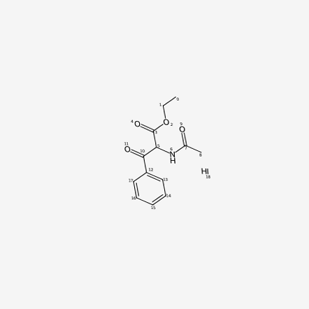 CCOC(=O)C(NC(C)=O)C(=O)c1ccccc1.I